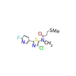 CSCCC(=O)N(C)c1sc(-c2ccc(F)nc2)nc1Cl